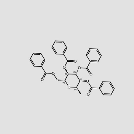 C[C@H]1O[C@H](COC(=O)c2ccccc2)[C@@H](OC(=O)c2ccccc2)[C@H](OC(=O)c2ccccc2)[C@H]1OC(=O)c1ccccc1